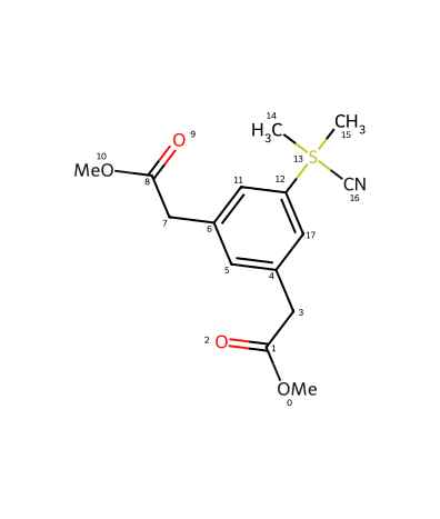 COC(=O)Cc1cc(CC(=O)OC)cc(S(C)(C)C#N)c1